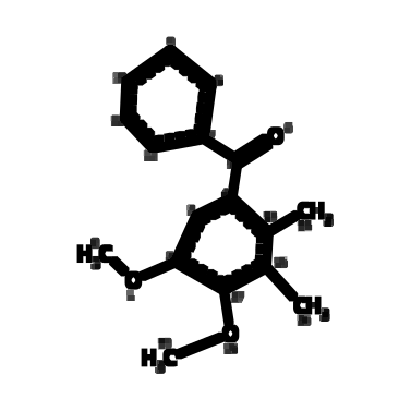 COc1cc(C(=O)c2ccccc2)c(C)c(C)c1OC